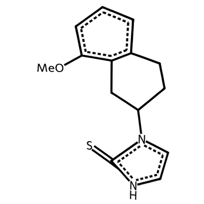 COc1cccc2c1CC(n1cc[nH]c1=S)CC2